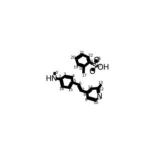 CNc1ccc(C=Cc2ccnc(C)c2)cc1.Cc1ccccc1S(=O)(=O)O